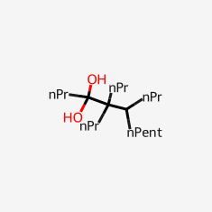 CCCCCC(CCC)C(CCC)(CCC)C(O)(O)CCC